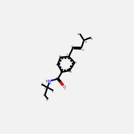 CCC(C)(C)NC(=O)c1ccc(/C=C/C(C)C)cc1